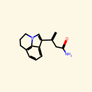 C=C(CC(N)=O)c1cn2c3c(cccc13)CCC2